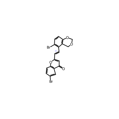 O=c1cc(/C=C/c2c(Br)ccc3c2COCO3)oc2ccc(Br)cc12